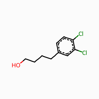 OCCCCc1ccc(Cl)c(Cl)c1